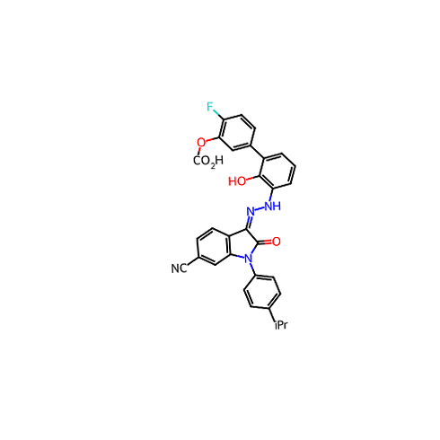 CC(C)c1ccc(N2C(=O)C(=NNc3cccc(-c4ccc(F)c(OC(=O)O)c4)c3O)c3ccc(C#N)cc32)cc1